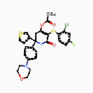 CC(C)COC(=O)OC1=C(Sc2ccc(F)cc2Cl)C(=O)NC(c2ccc(N3CCOCC3)cc2)(c2ccsc2)C1